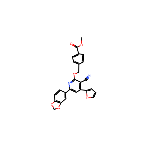 COC(=O)c1ccc(COc2nc(-c3ccc4c(c3)OCO4)cc(-c3ccco3)c2C#N)cc1